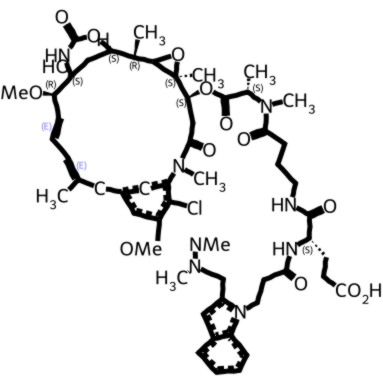 CNN(C)Cc1cc2ccccc2n1CCC(=O)N[C@@H](CCC(=O)O)C(=O)NCCCC(=O)N(C)[C@@H](C)C(=O)O[C@H]1CC(=O)N(C)c2cc(cc(OC)c2Cl)C/C(C)=C/C=C/[C@@H](OC)[C@@]2(O)C[C@H](OC(=O)N2)[C@@H](C)C2O[C@]21C